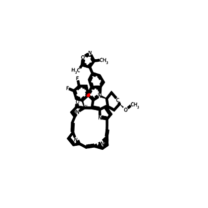 CO[C@H]1CC[C@H](n2c(C3=C4C=CC(=N4)C=c4ccc([nH]4)=CC4=NC(=CC5=CC(=O)[C@@]3(c3ccc(F)c(F)c3)N5)C=C4)nc3cc(-c4c(C)noc4C)ccc32)CC1